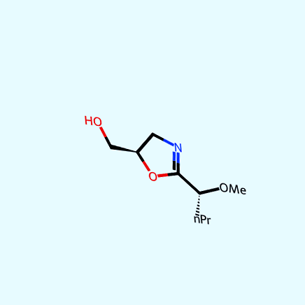 CCC[C@@H](OC)C1=NC[C@H](CO)O1